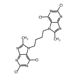 Cc1nc2nc(Cl)nc(Cl)c2n1CCCCn1c(C)nc2nc(Cl)nc(Cl)c21